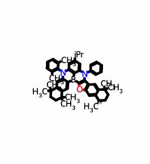 Cc1cccc(C)c1N1c2cc3c(cc2B2c4oc5cc6c(cc5c4N(c4ccccc4)c4cc(C(C)C)cc1c42)C(C)(C)CC[C@@H]6C)C(C)(C)CCC3(C)C